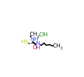 CCCCCCNC(=O)[C@H](CS)NCC.Cl